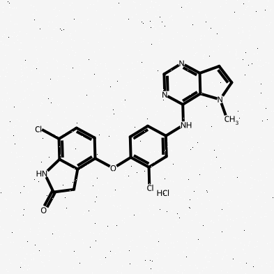 Cl.Cn1ccc2ncnc(Nc3ccc(Oc4ccc(Cl)c5c4CC(=O)N5)c(Cl)c3)c21